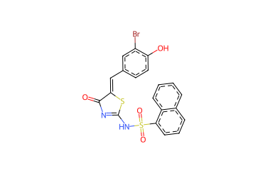 O=C1N=C(NS(=O)(=O)c2cccc3ccccc23)SC1=Cc1ccc(O)c(Br)c1